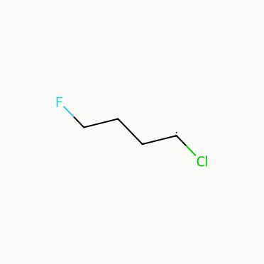 FCCC[CH]Cl